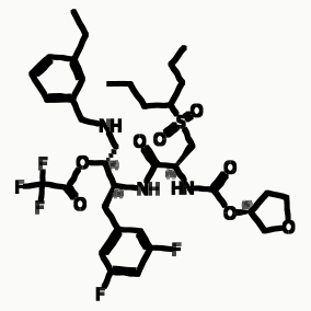 CCCC(CCC)S(=O)(=O)C[C@@H](NC(=O)O[C@H]1CCOC1)C(=O)N[C@@H](Cc1cc(F)cc(F)c1)[C@@H](CNCc1cccc(CC)c1)OC(=O)C(F)(F)F